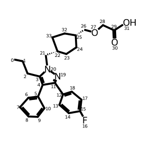 CCCc1c(-c2ccccc2)c(-c2ccc(F)cc2)nn1C[C@H]1CC[C@@H](COCC(=O)O)CC1